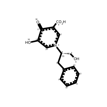 O=C(O)c1cn([C@H](CO)Cc2ccccc2)cc(O)c1=O